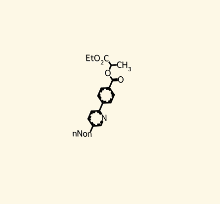 CCCCCCCCCc1ccc(-c2ccc(C(=O)OC(C)C(=O)OCC)cc2)nc1